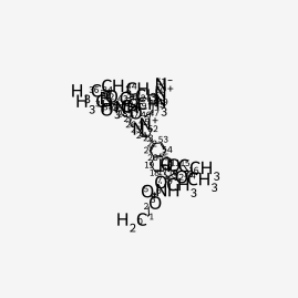 C=CCOC(=O)NOC(C)(C(=O)OC(C)(C)C)[C@H]1CCc2cc(-c3cn(CC(CNC(=O)OC(C)(C)C)O[Si](C)(C)C(C)(C)C)[n+](CCCN=[N+]=[N-])c3)ccc2O1